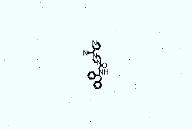 N#CC(c1cccnc1)N1CCN(C(=O)CNC(Cc2ccccc2)c2ccccc2)CC1